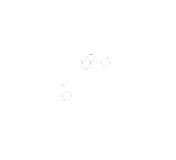 O=C(c1ccc2c(c1)CCO2)N1CCC(O)(Cn2cnc3c(cnn3-c3ccc(Cl)cc3)c2=O)CC1